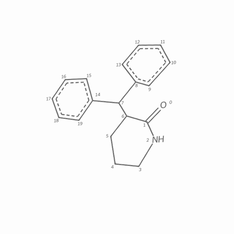 O=C1NCCCC1C(c1ccccc1)c1ccccc1